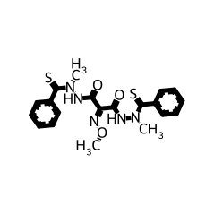 CON=C(C(=O)NN(C)C(=S)c1ccccc1)C(=O)NN(C)C(=S)c1ccccc1